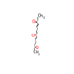 C=CC(=O)C=CC=CC(=O)C=CCC=CC(=O)C=CC